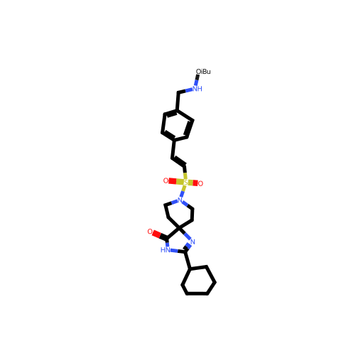 CC(C)CONCc1ccc(/C=C/S(=O)(=O)N2CCC3(CC2)N=C(C2CCCCC2)NC3=O)cc1